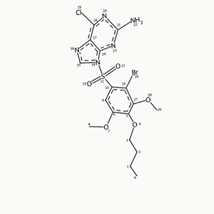 CCCCOc1c(OC)cc(S(=O)(=O)n2cnc3c(Cl)nc(N)nc32)c(Br)c1OC